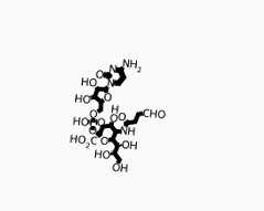 Nc1ccn(C2OC(COP(=O)(O)OC3(C(=O)O)CC(O)C(NC(=O)CCC=O)C([C@H](O)[C@H](O)CO)O3)C(O)C2O)c(=O)n1